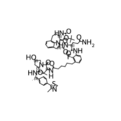 Cc1ncsc1-c1ccc([C@H](C)NC(=O)[C@@H]2C[C@@H](O)CN2C(=O)[C@@H](NC(=O)CCCCCc2cccc(NC(=O)[C@H](CCC(N)=O)NC(=O)[C@@H]3Cc4cccc5c4N3C(=O)[C@@H](NC(=O)OC(C)(C)C)CC5)c2F)C(C)(C)C)cc1